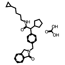 O=C(NCCCCC1CC1)C(c1ccc(CN2Cc3ccccc3C2=O)cc1)C1CCCC1.O=C(O)O